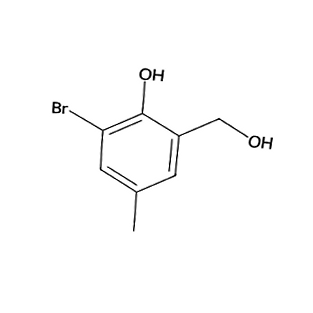 Cc1cc(Br)c(O)c(CO)c1